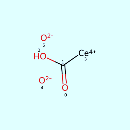 O=[C](O)[Ce+4].[O-2].[O-2]